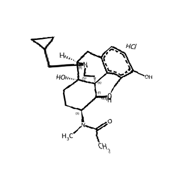 CC(=O)N(C)[C@H]1CC[C@@]2(O)[C@H]3Cc4ccc(O)c5c4[C@@]2(CCN3CC2CC2)[C@H]1O5.Cl